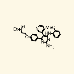 CCN(CC)CCOc1ccc(-c2nc(N)nc(Nc3ccccc3OC)c2-c2cccnc2)cc1